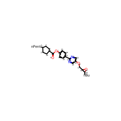 CCCCCC1CCC(C(=O)Oc2ccc(-c3ncc(OCC4OC4CCCC)cn3)cc2)CC1